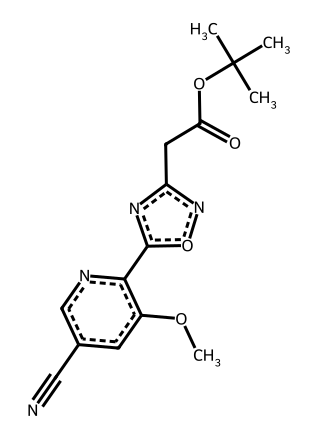 COc1cc(C#N)cnc1-c1nc(CC(=O)OC(C)(C)C)no1